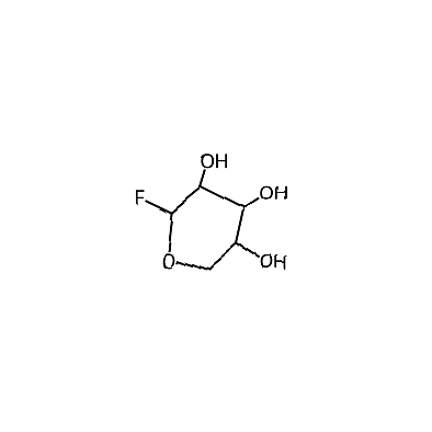 OC1COC(F)C(O)C1O